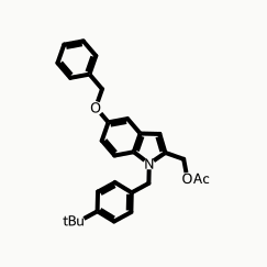 CC(=O)OCc1cc2cc(OCc3ccccc3)ccc2n1Cc1ccc(C(C)(C)C)cc1